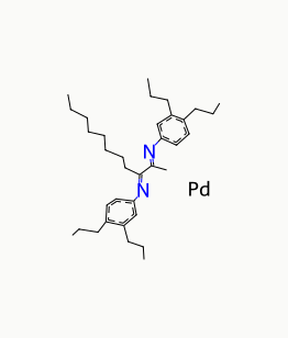 CCCCCCCCC(=N\c1ccc(CCC)c(CCC)c1)/C(C)=N/c1ccc(CCC)c(CCC)c1.[Pd]